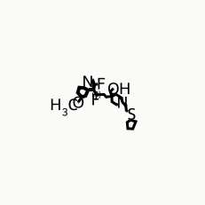 COc1ccc2ncc(F)c([C@H](F)CCC3(CO)CCN(CCSC4CCCC4)CC3)c2c1